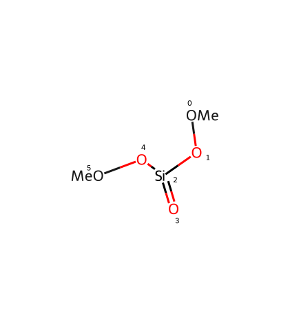 COO[Si](=O)OOC